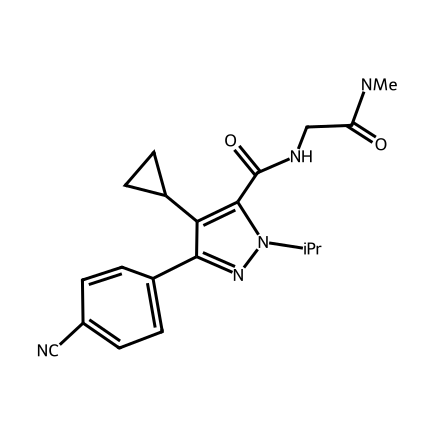 CNC(=O)CNC(=O)c1c(C2CC2)c(-c2ccc(C#N)cc2)nn1C(C)C